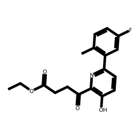 CCOC(=O)CCC(=O)c1nc(-c2cc(F)ccc2C)ccc1O